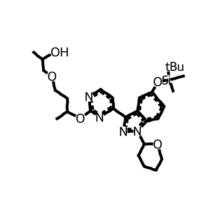 CC(O)COCCC(C)Oc1nccc(-c2nn(C3CCCCO3)c3ccc(O[Si](C)(C)C(C)(C)C)cc23)n1